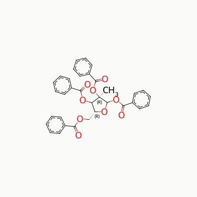 C[C@]1(OC(=O)c2ccccc2)C(OC(=O)c2ccccc2)O[C@H](COC(=O)c2ccccc2)C1OC(=O)c1ccccc1